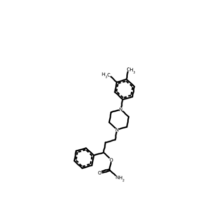 Cc1ccc(N2CCN(CCC(OC(N)=O)c3ccccc3)CC2)cc1C